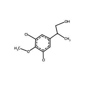 COc1c(Cl)cc([C](C)CO)cc1Cl